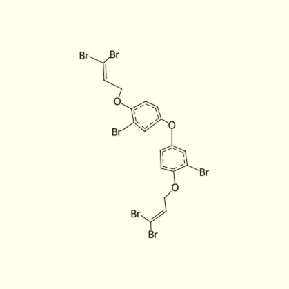 BrC(Br)=CCOc1ccc(Oc2ccc(OCC=C(Br)Br)c(Br)c2)cc1Br